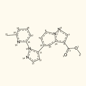 COC(=O)c1cnn2ccc(-c3ccnn3-c3cccc(C)n3)cc12